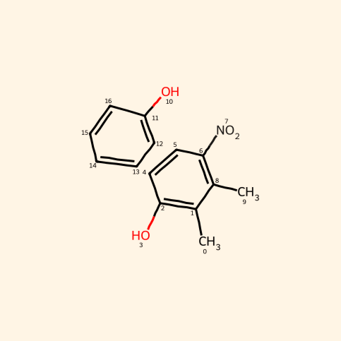 Cc1c(O)ccc([N+](=O)[O-])c1C.Oc1ccccc1